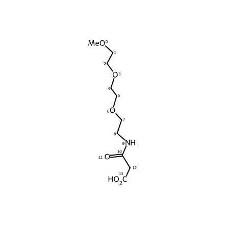 COCCOCCOCCNC(=O)CC(=O)O